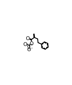 C=C(CCc1ccccc1)C(=O)O[N+](=O)[O-]